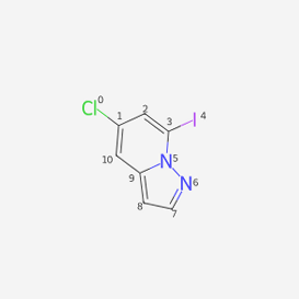 Clc1cc(I)n2nccc2c1